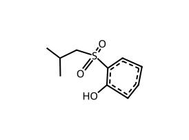 CC(C)CS(=O)(=O)c1ccccc1O